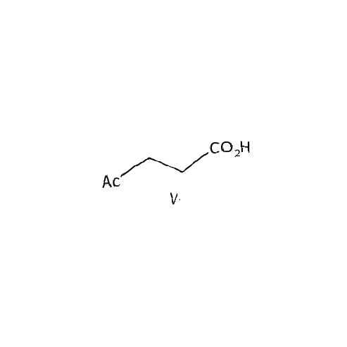 CC(=O)CCC(=O)O.[V]